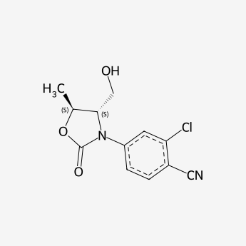 C[C@@H]1OC(=O)N(c2ccc(C#N)c(Cl)c2)[C@H]1CO